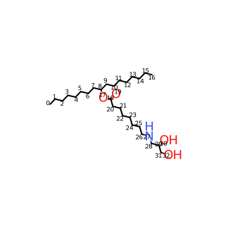 CCCCCCCCC(CCCCCCCC)OC(=O)CCCCCCCNCC(O)CO